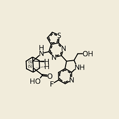 O=C(O)[C@H]1C2CCC(CC2)[C@@H]1Nc1nc(C2c3cc(F)cnc3NC2CO)nc2sccc12